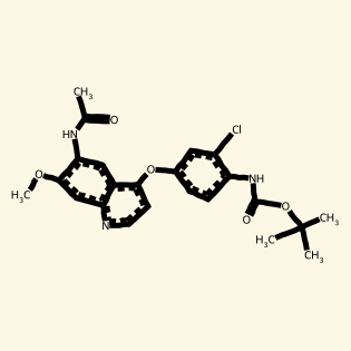 COc1cc2nccc(Oc3ccc(NC(=O)OC(C)(C)C)c(Cl)c3)c2cc1NC(C)=O